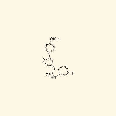 COc1ccc(C2=CC(=C3C(=O)Nc4cc(F)ccc43)OC2(C)C)cn1